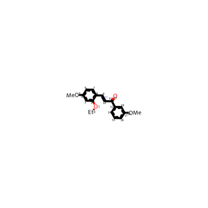 CCOc1cc(OC)ccc1/C=C/C(=O)c1cccc(OC)c1